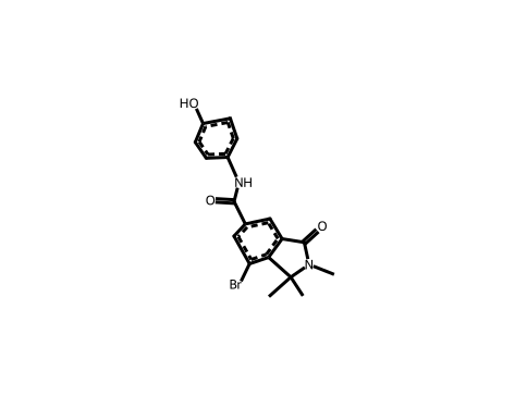 CN1C(=O)c2cc(C(=O)Nc3ccc(O)cc3)cc(Br)c2C1(C)C